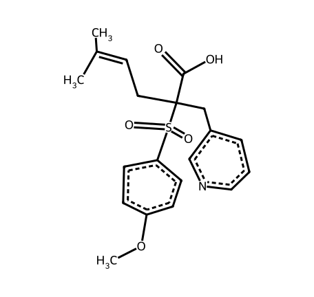 COc1ccc(S(=O)(=O)C(CC=C(C)C)(Cc2cccnc2)C(=O)O)cc1